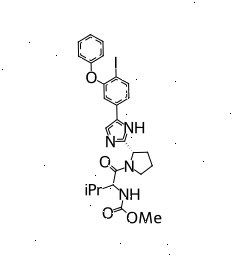 COC(=O)NC(C(=O)N1CCC[C@H]1c1ncc(-c2ccc(I)c(Oc3ccccc3)c2)[nH]1)C(C)C